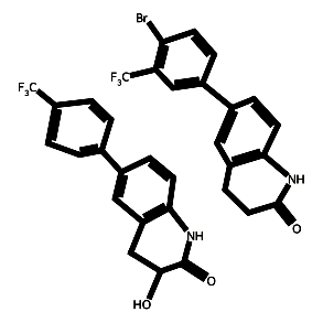 O=C1CCc2cc(-c3ccc(Br)c(C(F)(F)F)c3)ccc2N1.O=C1Nc2ccc(-c3ccc(C(F)(F)F)cc3)cc2CC1O